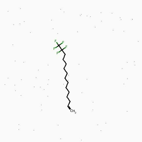 C=CCCCCCCCCCCCC(F)(F)C(F)(F)F